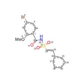 COc1cc(Br)ccc1C(=O)NS(=O)(=O)/C=C/c1ccccc1